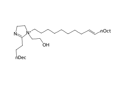 CCCCCCCCC=CCCCCCCCC[N+]1(CCO)CCN=C1CCCCCCCCCCCC